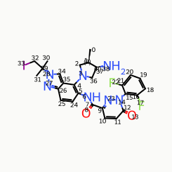 C[C@@H]1CN(c2c(NC(=O)c3ccc(=O)n(-c4c(F)cccc4F)n3)ccc3nn(C(C)(C)CI)cc23)C[C@@H]1N